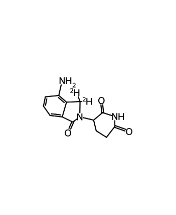 [2H]C1([2H])c2c(N)cccc2C(=O)N1C1CCC(=O)NC1=O